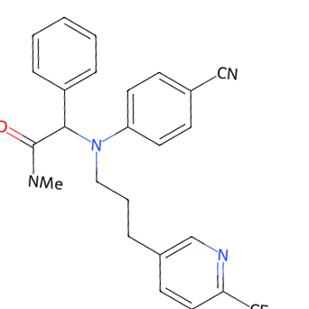 CNC(=O)C(c1ccccc1)N(CCCc1ccc(C(F)(F)F)nc1)c1ccc(C#N)cc1